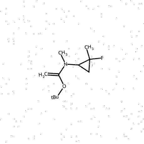 C=C(OC(C)(C)C)N(C)C1CC1(C)F